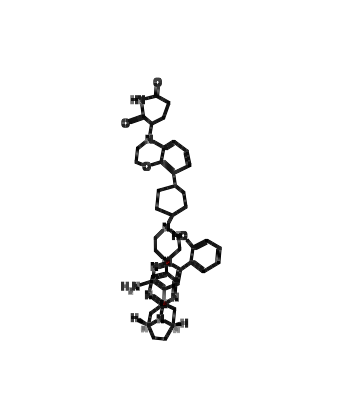 Nc1nnc(-c2ccccc2O)cc1N1C[C@H]2CC[C@@H](C1)N2c1ncc(N2CCN(C3CCC(c4cccc5c4OCCN5C4CCC(=O)NC4=O)CC3)CC2)cn1